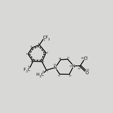 CC(c1cc(C(F)(F)F)ccc1C(F)(F)F)N1CCN(C(=O)Cl)CC1